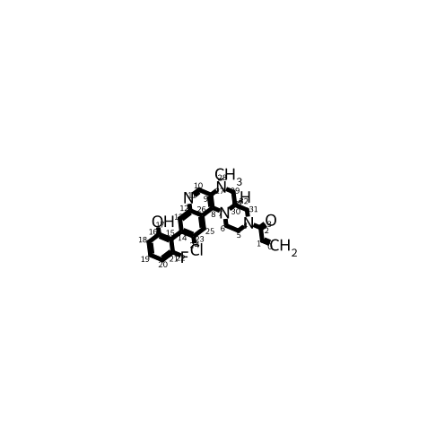 C=CC(=O)N1CCN2c3c(cnc4cc(-c5c(O)cccc5F)c(Cl)cc34)N(C)C[C@H]2C1